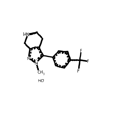 Cl.Cn1nc2c(c1-c1ccc(C(F)(F)F)cc1)CCNC2